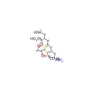 CCCCCCCCCCCCCCCCCCN.O=C(O)CCSSCCC(=O)O.OCCO